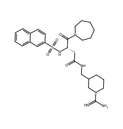 N=C(N)N1CCCC(CNC(=O)C[C@H](NS(=O)(=O)c2ccc3ccccc3c2)C(=O)N2CCCCCC2)C1